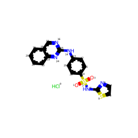 Cl.O=S(=O)(Nc1nccs1)c1ccc(Nc2ncc3ccccc3n2)cc1